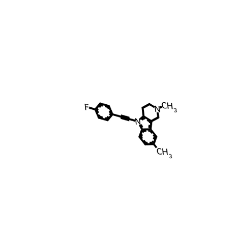 Cc1ccc2c(c1)c1c(n2C#Cc2ccc(F)cc2)CCN(C)C1